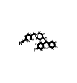 N#Cc1ccc(CN2CCC(OC(c3ccccc3)c3ccc(F)cc3)CC2)cn1